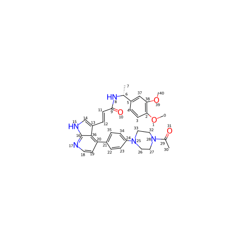 COc1ccc([C@@H](C)NC(=O)/C=C/c2c[nH]c3nccc(-c4ccc(N5CCN(C(C)=O)CC5)cc4)c23)cc1OC